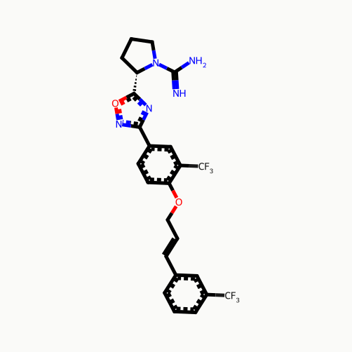 N=C(N)N1CCC[C@H]1c1nc(-c2ccc(OC/C=C/c3cccc(C(F)(F)F)c3)c(C(F)(F)F)c2)no1